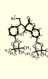 CC(=O)CC(c1cccc(B2OC(C)(C)C(C)(C)O2)c1)c1c(O)c2cc(B3OC(C)(C)C(C)(C)O3)ccc2oc1=O